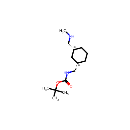 CNC[C@@H]1CCC[C@H](CNC(=O)OC(C)(C)C)C1